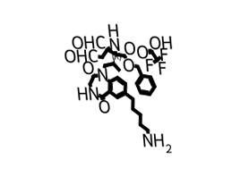 CC(CN1C(=O)CNC(=O)c2cc(CCCCCN)ccc21)[C@@]1(C(=O)OCc2ccccc2)NC1(C=O)CC=O.O=C(O)C(F)(F)F